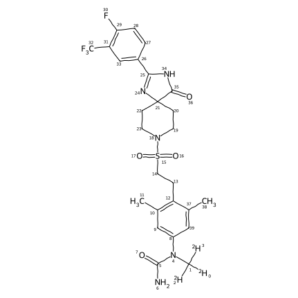 [2H]C([2H])([2H])N(C(N)=O)c1cc(C)c(CCS(=O)(=O)N2CCC3(CC2)N=C(c2ccc(F)c(C(F)(F)F)c2)NC3=O)c(C)c1